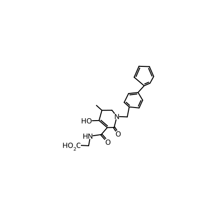 CC1CN(Cc2ccc(-c3ccccc3)cc2)C(=O)C(C(=O)NCC(=O)O)=C1O